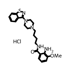 COc1cccc(C(=O)NCCCCN2CCN(c3nsc4ccccc34)CC2)c1N.Cl